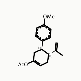 C=C(C)[C@@H]1CC=C(OC(C)=O)C[C@H]1c1ccc(OC)cc1